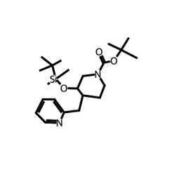 CC(C)(C)OC(=O)N1CCC(Cc2ccccn2)C(O[Si](C)(C)C(C)(C)C)C1